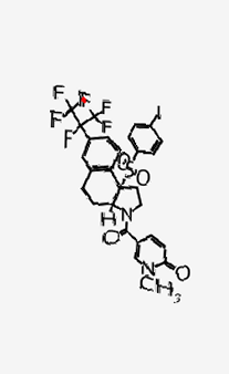 Cn1cc(C(=O)N2CC[C@@]3(S(=O)(=O)c4ccc(I)cc4)c4ccc(C(F)(C(F)(F)F)C(F)(F)F)cc4CC[C@@H]23)ccc1=O